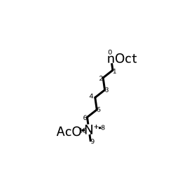 CCCCCCCCCCCCCC[N+](C)(C)OC(C)=O